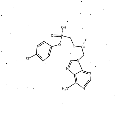 C[C@H](Cn1cnc2c(N)ncnc21)OCP(=O)(O)Oc1ccc(Cl)cc1